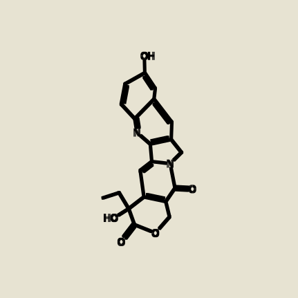 CCC1(O)C(=O)OCc2c1cc1n(c2=O)Cc2cc3cc(O)ccc3nc2-1